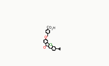 O=C(O)c1ccc(COc2ccc3c(c2)C/C(=C\c2ccc(C4C=C4)cc2Cl)C3=O)cc1